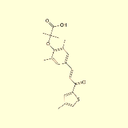 Cc1csc(C(=O)/C=C/c2cc(C)c(OC(C)(C)C(=O)O)c(C)c2)c1